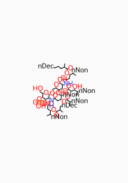 CCCCCCCCCCCCCC(C)C(=O)OC(CC(=O)NC1C(O)OC(COC2OC(CO)C(O[P+]([O-])(O)O)C(OC(=O)CC(OC(=O)C(C)CCCCCCCCCCC)C(C)CCCCCCCCC)C2NC(=O)CC(OC(=O)C(C)CCCCCCCCC)C(C)CCCCCCCCC)C(O)C1OC(=O)CC(O)C(C)CCCCCCCCC)C(C)CCCCCCCCC